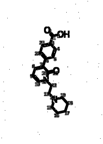 O=C(O)c1ccc(-c2cccn(CCN3CCCCC3)c2=O)cc1